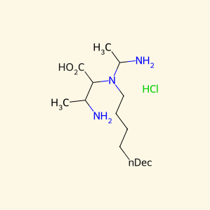 CCCCCCCCCCCCCCN(C(C)N)C(C(=O)O)C(C)N.Cl